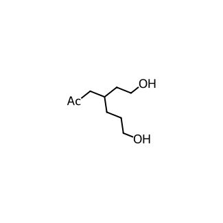 CC(=O)CC(CCO)CCCO